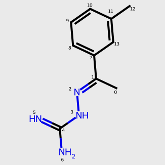 C/C(=N\NC(=N)N)c1cccc(C)c1